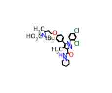 Cc1c(C(=O)NN2CCCCC2)nn(-c2ccc(Cl)cc2Cl)c1-c1ccc(OCCC(C)N(C(=O)O)C(C)(C)C)cc1